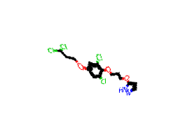 Clc1cc(OCCC(Cl)Cl)cc(Cl)c1OCCCOc1ccn[nH]1